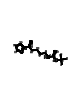 CC(C)(C)OC(=O)NCCCCC(=O)c1ccco1